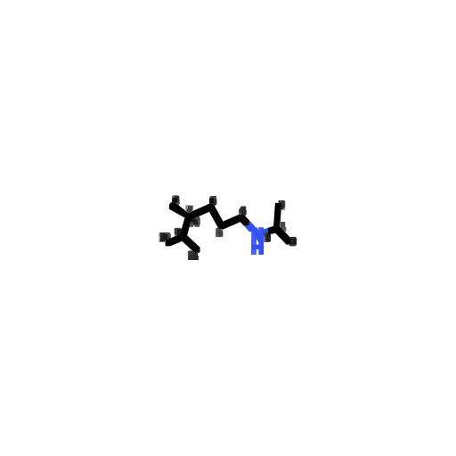 CC(C)NCCC[C@H](C)C(C)C